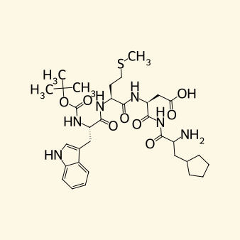 CSCC[C@H](NC(=O)[C@H](Cc1c[nH]c2ccccc12)NC(=O)OC(C)(C)C)C(=O)N[C@@H](CC(=O)O)C(=O)NC(=O)C(N)CC1CCCC1